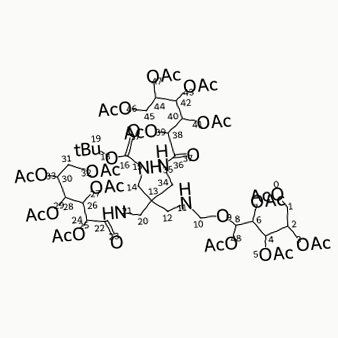 CC(=O)OCC(OC(C)=O)C(OC(C)=O)C(OC(C)=O)C(OCNCC(CNC(=O)OC(C)(C)C)(CNC(=O)C(OC(C)=O)C(OC(C)=O)C(OC(C)=O)C(COC(C)=O)OC(C)=O)CNC(=O)C(OC(C)=O)C(OC(C)=O)C(OC(C)=O)C(COC(C)=O)OC(C)=O)OC(C)=O